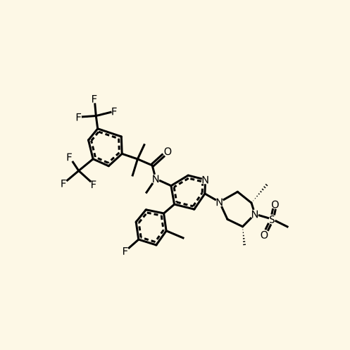 Cc1cc(F)ccc1-c1cc(N2C[C@@H](C)N(S(C)(=O)=O)[C@@H](C)C2)ncc1N(C)C(=O)C(C)(C)c1cc(C(F)(F)F)cc(C(F)(F)F)c1